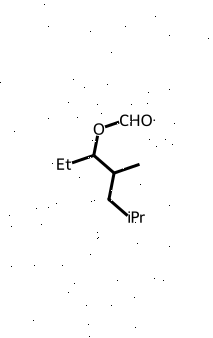 CCC(O[C]=O)C(C)CC(C)C